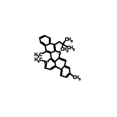 Cc1ccc2c(c1)cc1c3c([n+](C)ccc32)-c2c(c(CC(C)(C)C)c3ccccc3c2C)S1